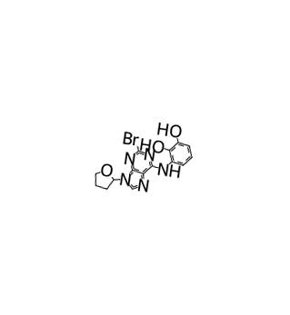 Oc1cccc(Nc2nc(Br)nc3c2ncn3C2CCCO2)c1O